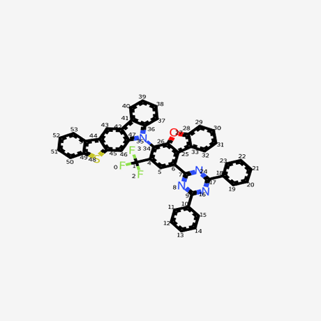 FC(F)(F)c1cc(-c2nc(-c3ccccc3)nc(-c3ccccc3)n2)c2c(oc3ccccc32)c1-n1c2ccccc2c2cc3c(cc21)sc1ccccc13